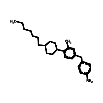 CCCCCCCC1CCC(c2ccc(Cc3ccc(N)cc3)cc2C)CC1